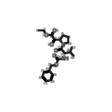 CCOC(=O)C(=O)C1CCCN1C(=O)[C@@H](NC(=O)OCc1ccccc1)C(C)C